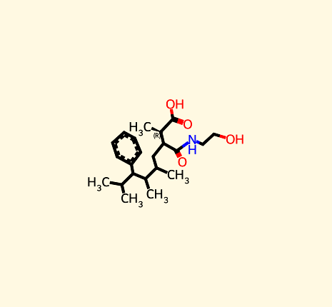 CC(C)C(c1ccccc1)C(C)C(C)CC(C(=O)NCCO)[C@@H](C)C(=O)O